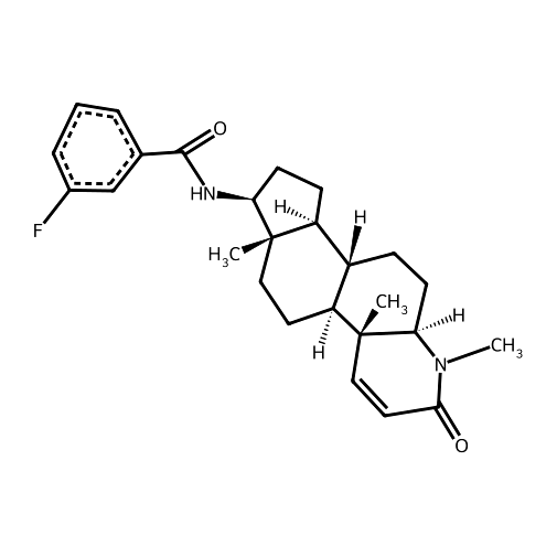 CN1C(=O)C=C[C@]2(C)[C@H]3CC[C@]4(C)[C@@H](NC(=O)c5cccc(F)c5)CC[C@H]4[C@@H]3CC[C@@H]12